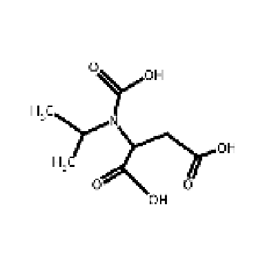 CC(C)N(C(=O)O)C(CC(=O)O)C(=O)O